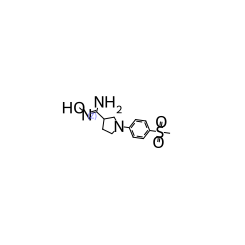 CS(=O)(=O)c1ccc(N2CCC(/C(N)=N/O)C2)cc1